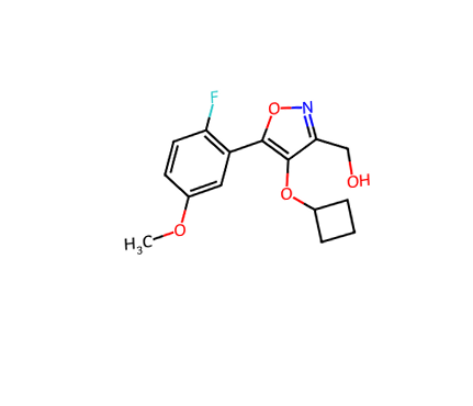 COc1ccc(F)c(-c2onc(CO)c2OC2CCC2)c1